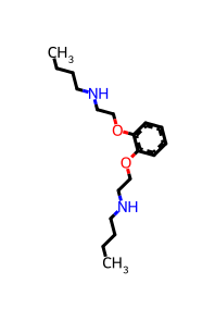 CCCCNCCOc1ccccc1OCCNCCCC